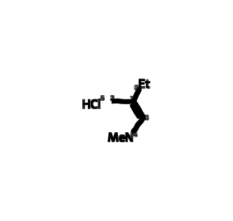 CCC(C)=CNC.Cl